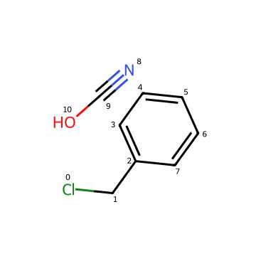 ClCc1ccccc1.N#CO